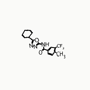 Cc1ccc(C(=O)Nc2nnc(C3CCCCC3)o2)cc1C(F)(F)F